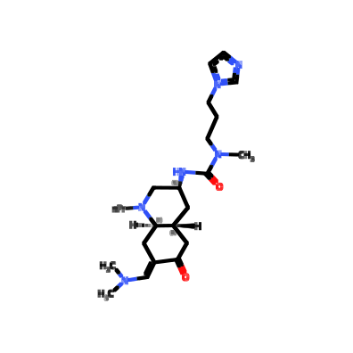 CCCN1C[C@@H](NC(=O)N(C)CCCn2ccnc2)C[C@@H]2CC(=O)C(=CN(C)C)C[C@H]21